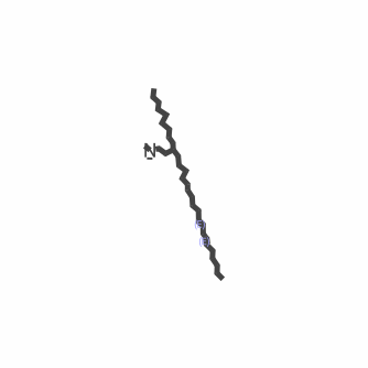 CCCCC/C=C/C/C=C/CCCCCCCCCC(CCCCCCCCC)CCN(C)C